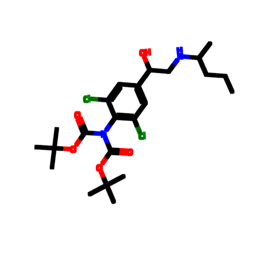 CCCC(C)NCC(O)c1cc(Cl)c(N(C(=O)OC(C)(C)C)C(=O)OC(C)(C)C)c(Cl)c1